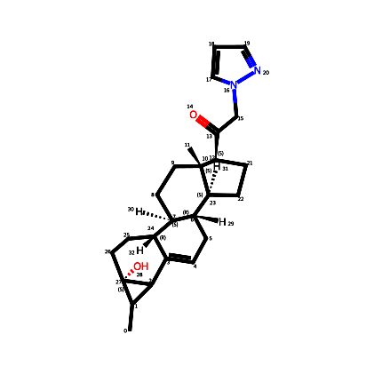 CC1C2C3=CC[C@@H]4[C@H](CC[C@]5(C)[C@@H](C(=O)Cn6cccn6)CC[C@@H]45)[C@H]3CC[C@]12O